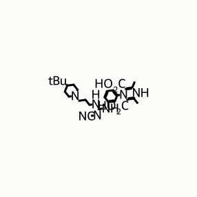 CC1=C(C(=O)O)N(c2cccc(N/C(=N/C#N)NCCCN3CCC(C(C)(C)C)CC3)c2)C(C(=O)O)=C(C)N1